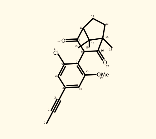 CC#Cc1cc(Cl)c(C2C(=O)C3CCC(C)(C2=O)C3(C)C)c(OC)c1